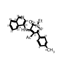 CCn1nc(-c2ccc(C)cc2)c(C(C)=O)c(Nc2cncc3ccccc23)c1=O